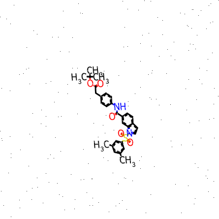 Cc1cc(C)cc(S(=O)(=O)n2ccc3ccc(C(=O)Nc4ccc(CC(=O)OC(C)(C)C)cc4)cc32)c1